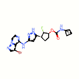 O=C(NC12CC(C1)C2)O[C@H]1CC[C@@H](c2cc(Nc3nccn4ncc(Br)c34)n[nH]2)[C@H]1F